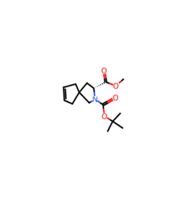 COC(=O)[C@H]1CC2(CC=CC2)CN1C(=O)OC(C)(C)C